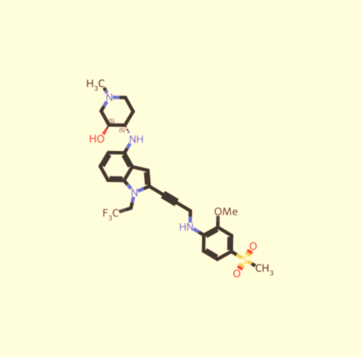 COc1cc(S(C)(=O)=O)ccc1NCC#Cc1cc2c(N[C@H]3CCN(C)C[C@@H]3O)cccc2n1CC(F)(F)F